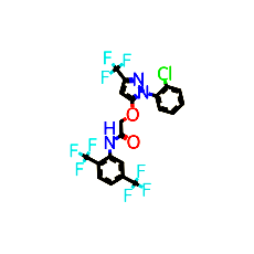 O=C(COc1cc(C(F)(F)F)nn1-c1ccccc1Cl)Nc1cc(C(F)(F)F)ccc1C(F)(F)F